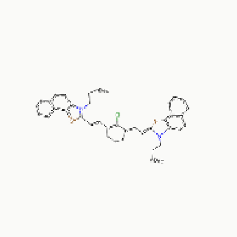 CCCCCCCCCCCCN1/C(=C/C=C2\CCCC(/C=C/c3sc4c5ccccc5ccc4[n+]3CCCCCCCCCCCC)=C2Cl)Sc2c1ccc1ccccc21